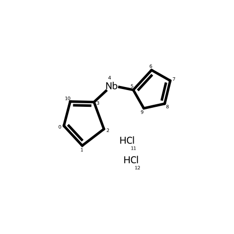 C1=CC[C]([Nb][C]2=CC=CC2)=C1.Cl.Cl